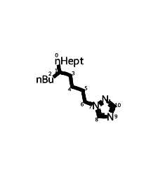 CCCCCCCC(CCCC)CCCCn1cncn1